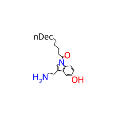 CCCCCCCCCCCCCCC(=O)n1cc(CCN)c2cc(O)ccc21